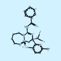 O=C(NC1=N[C@@](c2nc(Br)ccc2F)(C(F)F)CS2(=O)=NCCCCN12)c1ccccc1